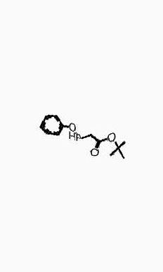 CC(C)(C)OC(=O)CPOc1ccccc1